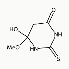 COC1(O)CC(=O)NC(=S)N1